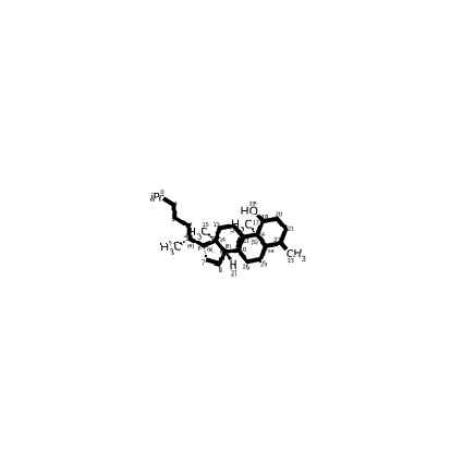 CC(C)CCC[C@@H](C)[C@H]1CC[C@H]2C3=C(CC[C@]12C)[C@@]1(C)C(O)CCC(C)C1CC3